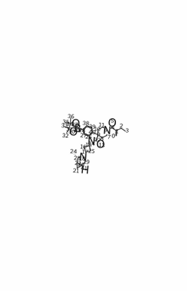 C=C(CC)C(=O)N1CCC2(CC1)C(=O)N([C@H]1C[C@@H](N3C[C@H]4CC4[C@@H]3C)C1)c1cc(B3OC(C)(C)C(C)(C)O3)ccc12